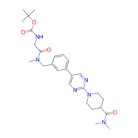 CN(C)C(=O)C1CCN(c2ncc(-c3cccc(CN(C)C(=O)CNC(=O)OC(C)(C)C)c3)cn2)CC1